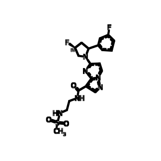 CS(=O)(=O)NCCNC(=O)c1cnn2ccc(N3C[C@@H](F)CC3c3cccc(F)c3)nc12